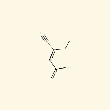 C=C(Br)/C=C(/C#N)CC